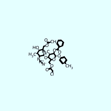 CC(=O)OCC1O[C@H](O[C@@H]2C(COC(=O)CCl)O[C@@H](Oc3ccc(C)cc3)C(OC(=O)c3ccccc3)[C@H]2C)C(N=[N+]=[N-])[C@@H](C)[C@@H]1O